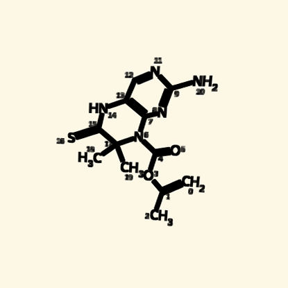 C=C(C)OC(=O)N1c2nc(N)ncc2NC(=S)C1(C)C